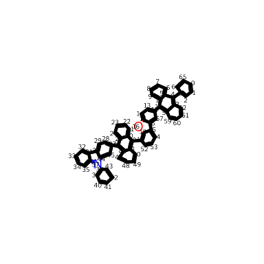 c1ccc(-c2c3ccccc3c(-c3ccc4oc5c(-c6c7ccccc7c(-c7ccc8c9ccccc9n(-c9ccccc9)c8c7)c7ccccc67)cccc5c4c3)c3ccccc23)cc1